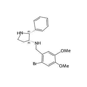 COc1cc(Br)c(CN[C@@H]2CCN[C@@H]2c2ccccc2)cc1OC